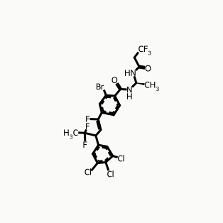 C[C@H](NC(=O)CC(F)(F)F)NC(=O)c1ccc(/C(F)=C/C(c2cc(Cl)c(Cl)c(Cl)c2)C(C)(F)F)cc1Br